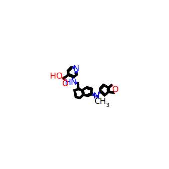 CN(c1ccc2c(c1)COC2)c1ccc2c(c1)CCCC2CNc1cnccc1C(=O)O